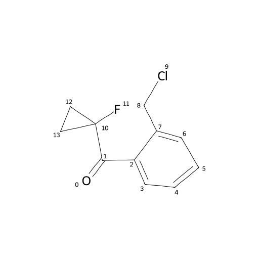 O=C(c1ccccc1CCl)C1(F)CC1